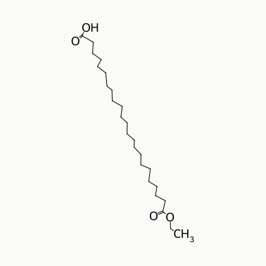 CCOC(=O)CCCCCCCCCCCCCCCCCCCCCC(=O)O